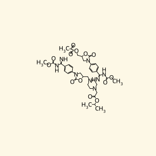 COC(=O)NC(=N)c1ccc(N2CC(CN3CCN(CC(=O)OC(C)C)CC3)OC2=O)cc1.COC(=O)NC(=N)c1ccc(N2CC(COS(C)(=O)=O)OC2=O)cc1